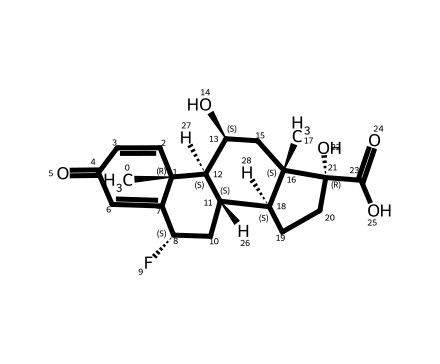 C[C@]12C=CC(=O)C=C1[C@@H](F)C[C@@H]1[C@@H]2[C@@H](O)C[C@@]2(C)[C@H]1CC[C@]2(O)C(=O)O